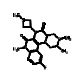 CC1CN2c3c(c(=O)n(C)c4ncc(F)cc34)N(C3CN(C)C3)C(=O)C2CN1C